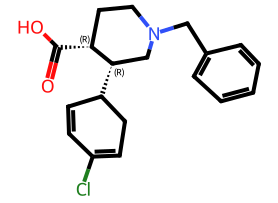 O=C(O)[C@@H]1CCN(Cc2ccccc2)C[C@@H]1C1C=CC(Cl)=CC1